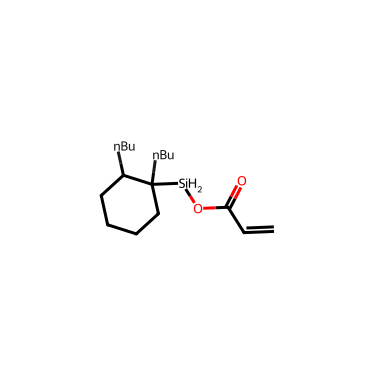 C=CC(=O)O[SiH2]C1(CCCC)CCCCC1CCCC